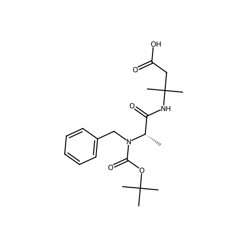 C[C@@H](C(=O)NC(C)(C)CC(=O)O)N(Cc1ccccc1)C(=O)OC(C)(C)C